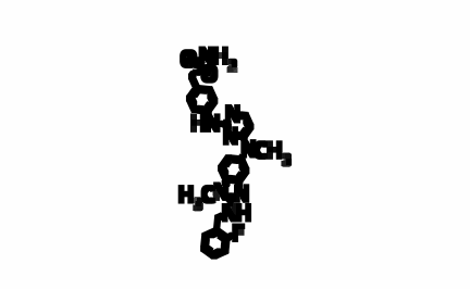 CN(c1ccc2c(c1)nc(NCc1ccccc1F)n2C)c1ccnc(Nc2ccc(CS(N)(=O)=O)cc2)n1